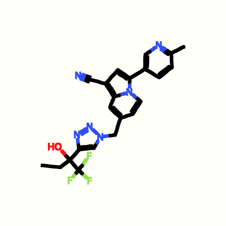 CCC(O)(c1cn(Cc2ccn3c(-c4ccc(C)nc4)cc(C#N)c3c2)nn1)C(F)(F)F